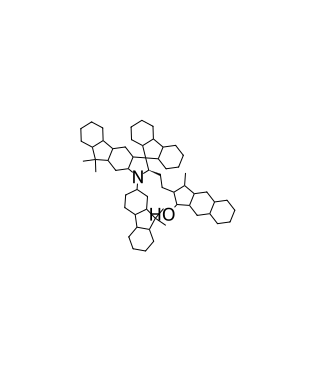 CC1C(CC[C@H]2N(C3CCC4C5CCCCC5C(C)(C)C4C3)C3CC4C(CC3C23C2CCCCC2C2CCCCC23)C2CCCCC2C4(C)C)C(O)C2CC3CCCCC3CC12